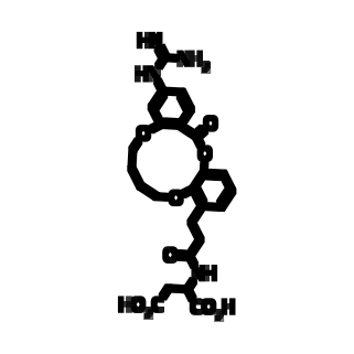 N=C(N)Nc1ccc2c(c1)OCCCCOc1c(CCC(=O)NC(CC(=O)O)C(=O)O)cccc1OC2=O